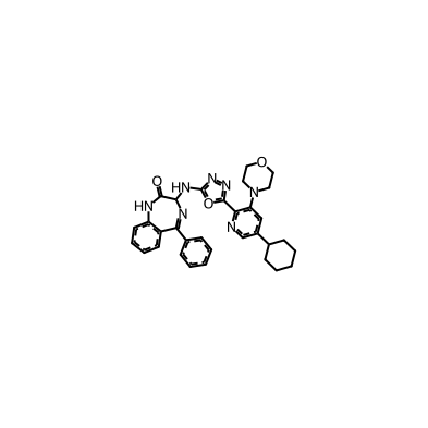 O=C1Nc2ccccc2C(c2ccccc2)=NC1Nc1nnc(-c2ncc(C3CCCCC3)cc2N2CCOCC2)o1